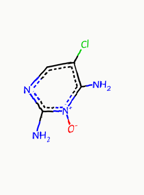 Nc1ncc(Cl)c(N)[n+]1[O-]